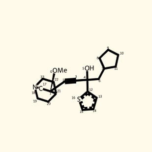 CO[C@]1(C#CC(O)(CC2CCCC2)c2cccs2)CN2CCC1CC2